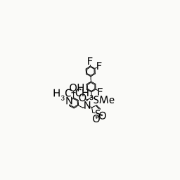 CSC(C(=O)N(Cc1ccnc(C(C)(C)O)c1)C1C=CS(=O)(=O)C1)c1ccc(-c2ccc(F)c(F)c2)cc1F